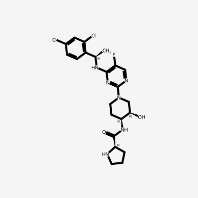 C[C@@H](Nc1nc(N2CC[C@H](NC(=O)[C@H]3CCCN3)[C@H](O)C2)ncc1F)c1ccc(Cl)cc1Cl